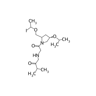 CC(C)O[C@@H]1CC(COC(C)I)N(C(=O)CNCC(=O)C(C)C)C1